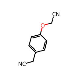 N#CCOc1ccc(CC#N)cc1